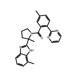 Cc1ccc(-c2ncccn2)c(C(=O)N2CCCC2(C)c2nc3cccc(C)c3[nH]2)c1